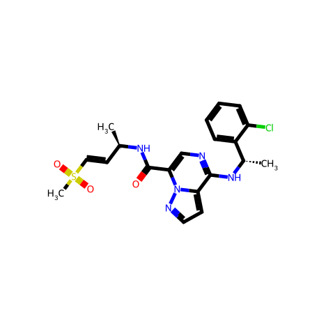 C[C@H](/C=C/S(C)(=O)=O)NC(=O)c1cnc(N[C@@H](C)c2ccccc2Cl)c2ccnn12